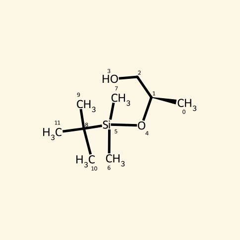 C[C@H](CO)O[Si](C)(C)C(C)(C)C